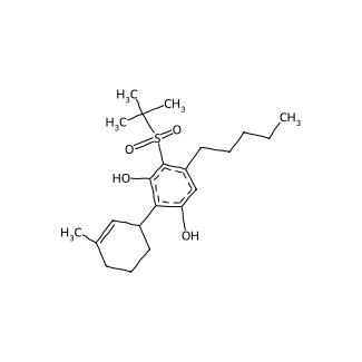 CCCCCc1cc(O)c(C2C=C(C)CCC2)c(O)c1S(=O)(=O)C(C)(C)C